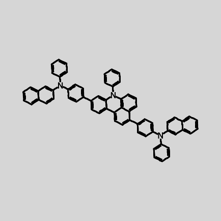 c1ccc(N(c2ccc(-c3ccc4c(c3)N(c3ccccc3)c3cccc5c(-c6ccc(N(c7ccccc7)c7ccc8ccccc8c7)cc6)ccc-4c35)cc2)c2ccc3ccccc3c2)cc1